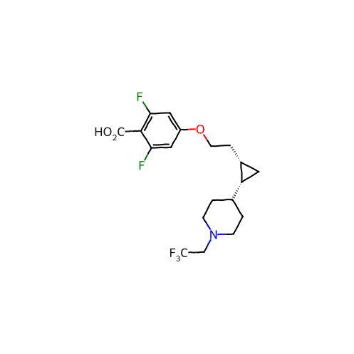 O=C(O)c1c(F)cc(OCC[C@@H]2C[C@@H]2C2CCN(CC(F)(F)F)CC2)cc1F